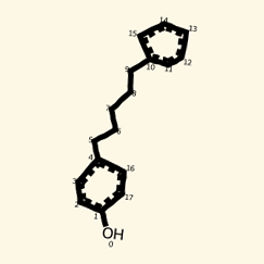 Oc1ccc(CCCCCc2ccccc2)cc1